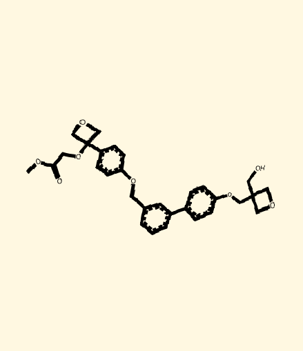 COC(=O)COC1(c2ccc(OCc3cccc(-c4ccc(OCC5(CO)COC5)cc4)c3)cc2)COC1